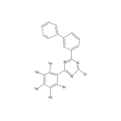 [2H]c1c([2H])c([2H])c(-c2nc(Cl)nc(-c3cccc(-c4ccccc4)c3)n2)c([2H])c1[2H]